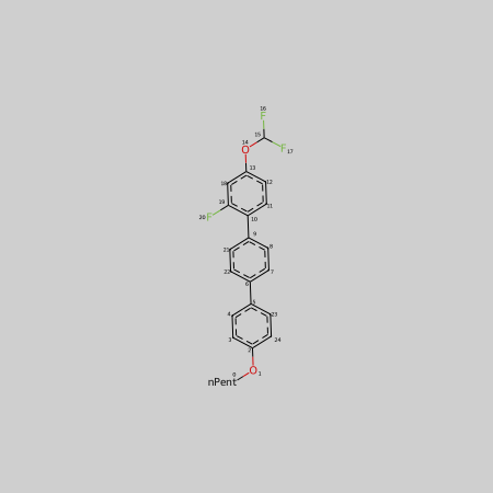 CCCCCOc1ccc(-c2ccc(-c3ccc(OC(F)F)cc3F)cc2)cc1